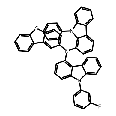 Fc1cccc(-n2c3ccccc3c3c(N(c4ccc5sc6ccccc6c5c4)c4cccc5c6ccccc6n(-c6ccccc6)c45)cccc32)c1